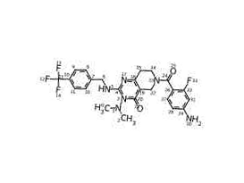 CN(C)n1c(NCc2ccc(C(F)(F)F)cc2)nc2c(c1=O)CN(C(=O)c1ccc(N)cc1F)CC2